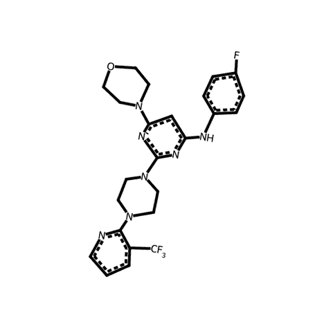 Fc1ccc(Nc2cc(N3CCOCC3)nc(N3CCN(c4ncccc4C(F)(F)F)CC3)n2)cc1